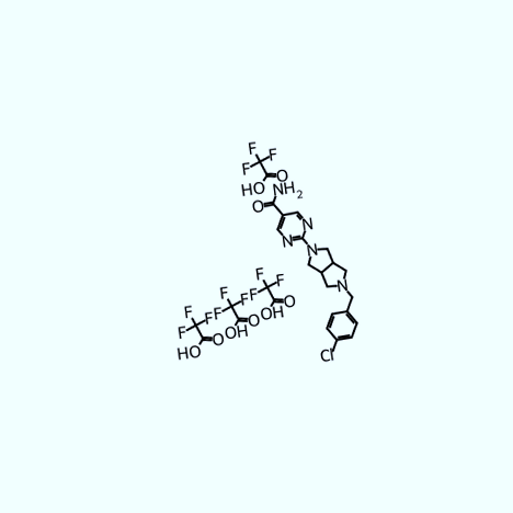 NC(=O)c1cnc(N2CC3CN(Cc4ccc(Cl)cc4)CC3C2)nc1.O=C(O)C(F)(F)F.O=C(O)C(F)(F)F.O=C(O)C(F)(F)F.O=C(O)C(F)(F)F